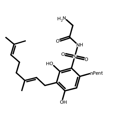 CCCCCc1cc(O)c(C/C=C(\C)CCC=C(C)C)c(O)c1S(=O)(=O)NC(=O)CN